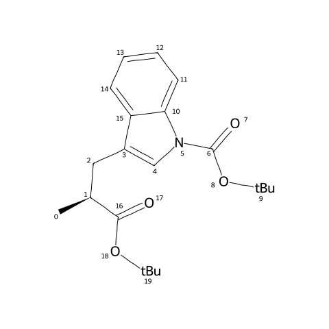 C[C@@H](Cc1cn(C(=O)OC(C)(C)C)c2ccccc12)C(=O)OC(C)(C)C